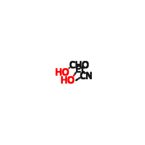 CC#N.CCO.O=CO